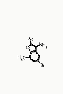 CC(=O)c1oc2c(C)cc(Br)cc2c1N